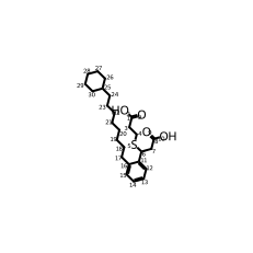 O=C(O)CCSC(CC(=O)O)c1ccccc1CCCCCCCCC1CCCCC1